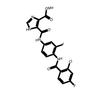 COC(=O)c1nc[nH]c1C(=O)Nc1ccc(NC(=O)c2ccc(F)cc2Cl)c(F)c1